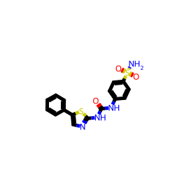 NS(=O)(=O)c1ccc(NC(=O)Nc2ncc(-c3ccccc3)s2)cc1